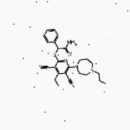 CCCN1CCCN(c2nc(SC(C(N)=O)c3ccccc3)c(C#N)c(CC)c2C#N)CC1